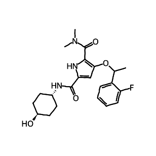 CC(Oc1cc(C(=O)N[C@H]2CC[C@H](O)CC2)[nH]c1C(=O)N(C)C)c1ccccc1F